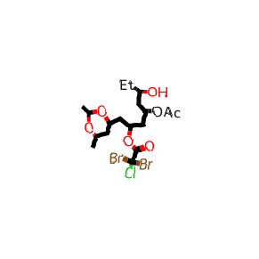 CCC(O)CC(CC(CC1CC(C)OC(C)O1)OC(=O)C(Cl)(Br)Br)OC(C)=O